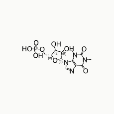 Cn1c(=O)c2ncn([C@@H]3O[C@H](COP(=O)(O)O)[C@@H](O)[C@H]3O)c2n(C)c1=O